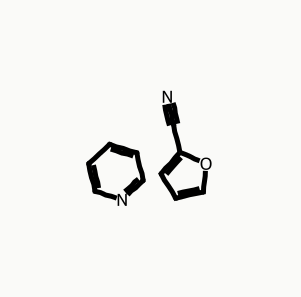 N#Cc1ccco1.c1ccncc1